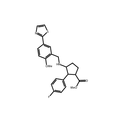 COC(=O)C1CCC(NCc2cc(-c3nccs3)ccc2OC)C1c1ccc(F)cc1